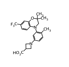 Cc1ccc(N2CC(C(=O)O)C2)cc1N1CC(C)(C)Oc2cc(C(F)(F)F)ccc21